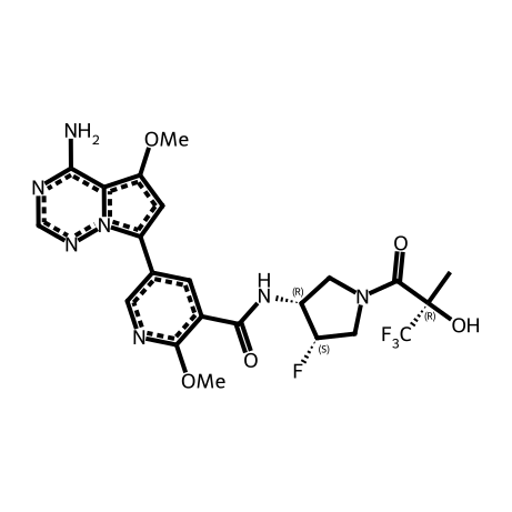 COc1ncc(-c2cc(OC)c3c(N)ncnn23)cc1C(=O)N[C@@H]1CN(C(=O)[C@@](C)(O)C(F)(F)F)C[C@@H]1F